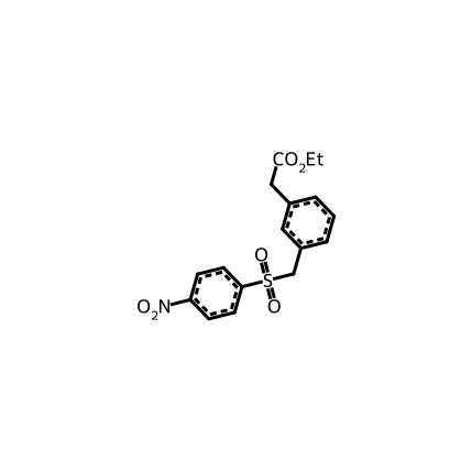 CCOC(=O)Cc1cccc(CS(=O)(=O)c2ccc([N+](=O)[O-])cc2)c1